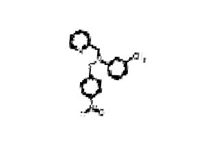 Cc1cccc(N(Cc2ccccn2)Sc2ccc([N+](=O)[O-])cc2)c1